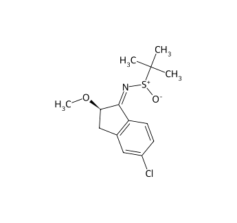 CO[C@@H]1Cc2cc(Cl)ccc2/C1=N\[S+]([O-])C(C)(C)C